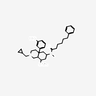 COC1CC(N(C)C(=O)CCCCCc2ccccc2)CC2(c3cccc(O)c3)CCN(CC3CC3)CC12